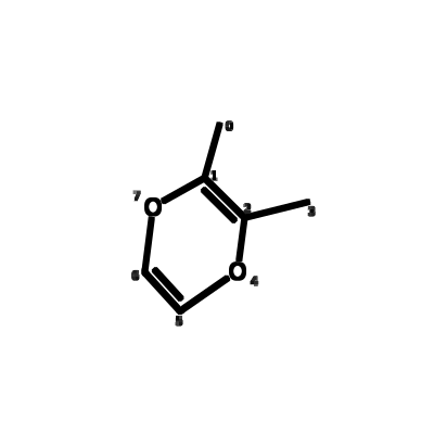 CC1=C(C)OC=CO1